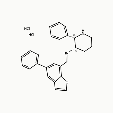 Cl.Cl.c1ccc(-c2cc(CN[C@H]3CCCN[C@H]3c3ccccc3)c3occc3c2)cc1